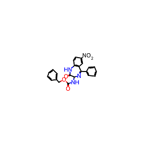 O=C(NC1N=C(c2ccccc2)c2cc([N+](=O)[O-])ccc2NC1=O)OCc1ccccc1